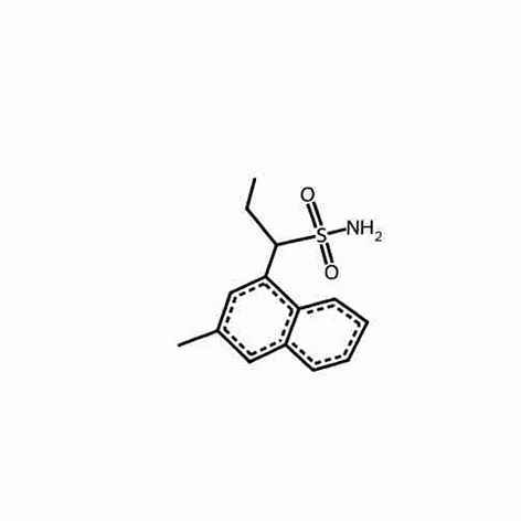 CCC(c1cc(C)cc2ccccc12)S(N)(=O)=O